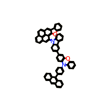 C1=C(c2ccc3c(c2)Oc2ccccc2N3c2ccc(-c3c4ccccc4cc4ccccc34)cc2)C=C2c3ccccc3N(c3cc4cccc5ccc6cc7c8ccccc8oc7c3c6c54)C2C1